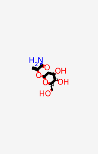 C=C(OC1C[C@@H](O)[C@H](O)[C@@H](CO)O1)C(N)=O